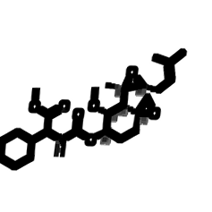 COC(=O)C(NC(=O)O[C@@H]1CC[C@]2(CO2)[C@@H]([C@@]2(C)O[C@@H]2CC=C(C)C)[C@H]1OC)C1CCCCC1